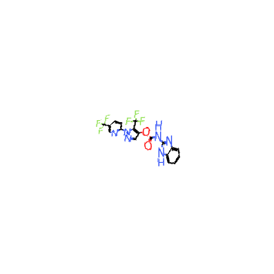 O=C(Nc1nc2ccccc2[nH]1)Oc1cnn(-c2ccc(C(F)(F)F)cn2)c1C(F)(F)F